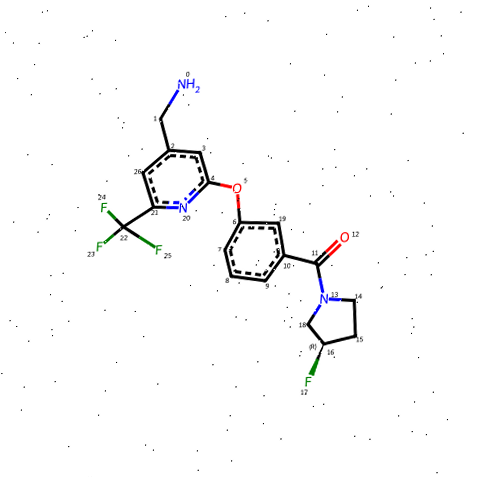 NCc1cc(Oc2cccc(C(=O)N3CC[C@@H](F)C3)c2)nc(C(F)(F)F)c1